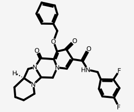 O=C(NCc1ccc(F)cc1F)c1cn2c(c(OCc3ccccc3)c1=O)C(=O)N1C[C@@H]3CCCCN3C1C2